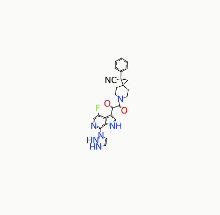 N#CC1(c2ccccc2)CC12CCN(C(=O)C(=O)c1c[nH]c3c(N4C=CNN4)ncc(F)c13)CC2